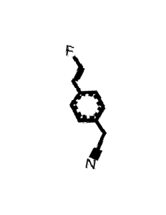 N#CCc1ccc(C=CF)cc1